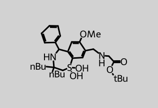 CCCCC1(CCCC)CS(O)(O)c2cc(CNCC(=O)OC(C)(C)C)c(OC)cc2C(c2ccccc2)N1